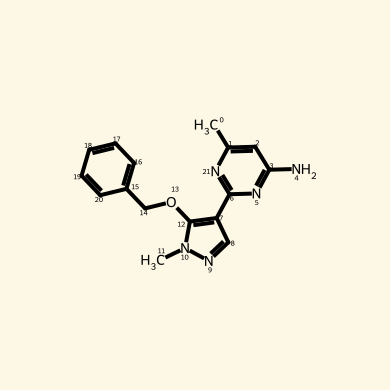 Cc1cc(N)nc(-c2cnn(C)c2OCc2ccccc2)n1